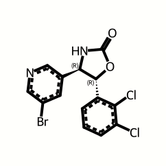 O=C1N[C@H](c2cncc(Br)c2)[C@@H](c2cccc(Cl)c2Cl)O1